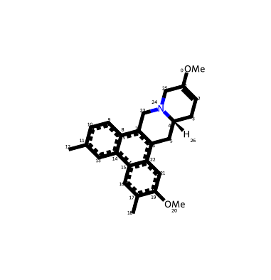 COC1=CC[C@@H]2Cc3c(c4ccc(C)cc4c4cc(C)c(OC)cc34)CN2C1